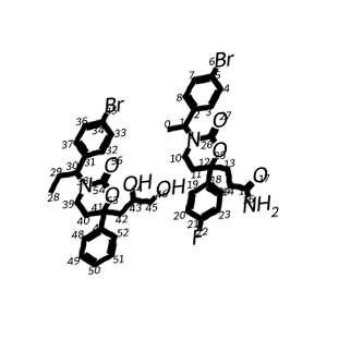 CC(c1ccc(Br)cc1)N1CCC(CCC(N)=O)(c2ccc(F)cc2)OC1=O.CCC(c1ccc(Br)cc1)N1CCC(CC(O)CO)(c2ccccc2)OC1=O